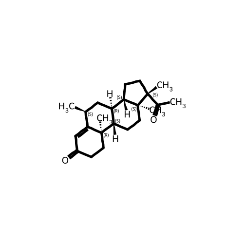 CC(=O)[C@@]1(C)CC[C@H]2[C@@H]3C[C@H](C)C4=CC(=O)CC[C@]4(C)[C@H]3CC[C@@]21C